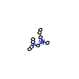 C1=C2C(Cc3ccccc31)c1cc3ccccc3cc1N2c1cccc(-c2nc(-c3ccccc3)nc(-c3ccc(-c4ccc5ccccc5c4)cc3)n2)c1